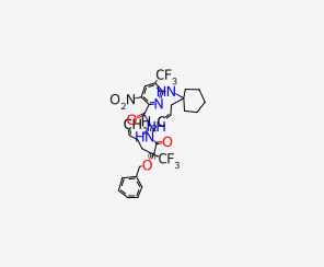 C=CCC[C@@](OCc1ccccc1)(C(=O)NNC(=O)c1nc(NC2(CC=C)CCCCC2)c(C(F)(F)F)cc1[N+](=O)[O-])C(F)(F)F